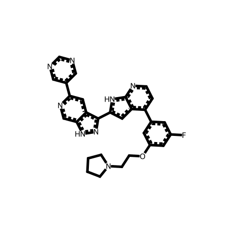 Fc1cc(OCCN2CCCC2)cc(-c2ccnc3[nH]c(-c4n[nH]c5cnc(-c6cncnc6)cc45)cc23)c1